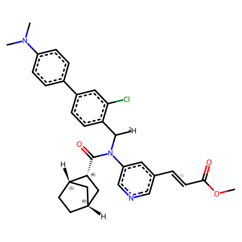 [2H]C(c1ccc(-c2ccc(N(C)C)cc2)cc1Cl)N(C(=O)[C@@H]1C[C@@H]2CC[C@H]1C2)c1cncc(/C=C/C(=O)OC)c1